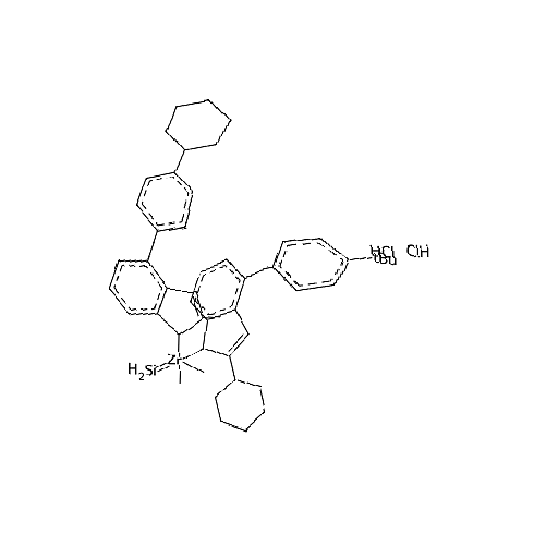 CC1=Cc2c(-c3ccc(C4CCCCC4)cc3)cccc2[CH]1[Zr]([CH3])([CH3])(=[SiH2])[CH]1C(C2CCCCC2)=Cc2c(-c3ccc(C(C)(C)C)cc3)cccc21.Cl.Cl